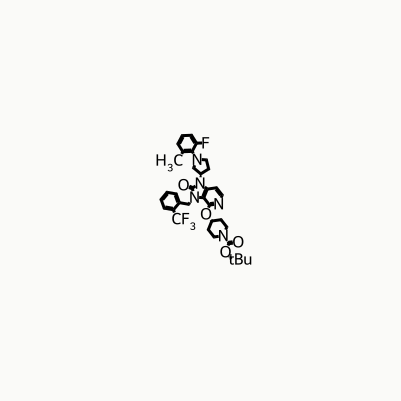 Cc1cccc(F)c1N1CC[C@@H](n2c(=O)n(Cc3ccccc3C(F)(F)F)c3c(OC4CCN(C(=O)OC(C)(C)C)CC4)nccc32)C1